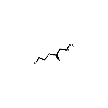 NNCC(=O)OCCCl